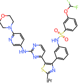 CC(C)c1nc(-c2cccc(NS(=O)(=O)c3cccc(OC(F)F)c3)c2)c(-c2ccnc(Nc3ccc(N4CCOCC4)nc3)n2)s1